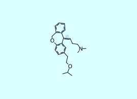 CC(C)OCCc1ccc2c(c1)/C(=C\CCN(C)C)c1ccccc1CO2